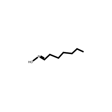 CCCCCC/[C]=N/O